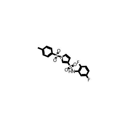 Cc1ccc(S(=O)(=O)n2ccc(S(=O)(=O)Nc3cc(F)ccc3F)c2)cc1